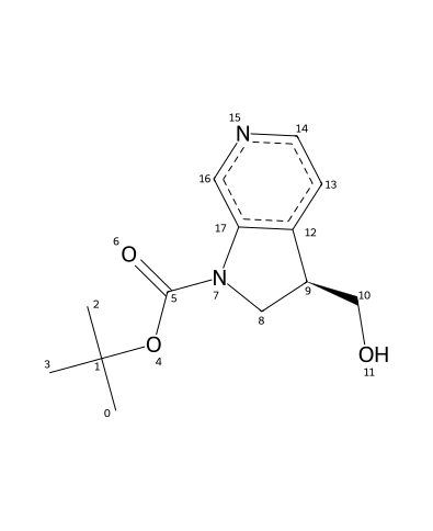 CC(C)(C)OC(=O)N1C[C@H](CO)c2ccncc21